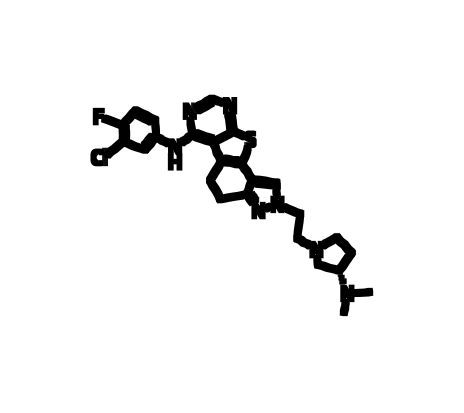 CN(C)[C@H]1CCN(CCn2cc3c(n2)CCc2c-3sc3ncnc(Nc4ccc(F)c(Cl)c4)c23)C1